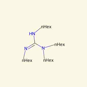 CCCCCC/N=C(/NCCCCCC)N(CCCCCC)CCCCCC